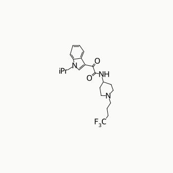 CC(C)n1cc(C(=O)C(=O)NC2CCN(CCCC(F)(F)F)CC2)c2ccccc21